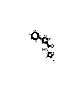 C[C@@H]1C[C@H](NC(=O)c2cc(C3=CCCC=C3)no2)O1